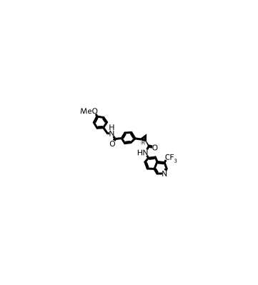 COc1ccc(CNC(=O)c2ccc(C3C[C@H]3C(=O)Nc3ccc4cncc(C(F)(F)F)c4c3)cc2)cc1